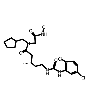 C[C@@H](CCNC(=O)Nc1cc(Cl)ccc1Cl)CC(=O)N(CC(=O)NO)CC1CCCC1